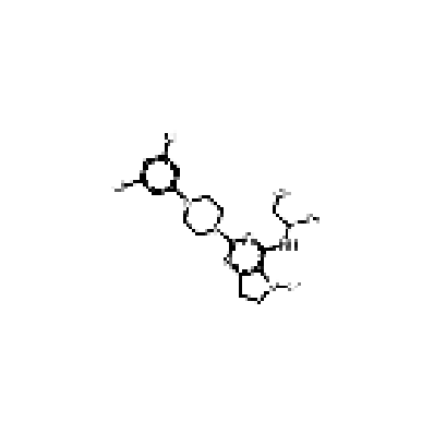 CC(C)[C@H](CO)Nc1nc(N2CCN(c3cc(Cl)cc(Cl)c3)CC2)nc2c1[S+]([O-])CC2